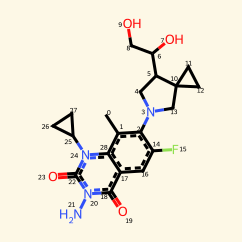 Cc1c(N2CC(C(O)CO)C3(CC3)C2)c(F)cc2c(=O)n(N)c(=O)n(C3CC3)c12